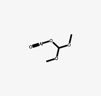 COC(OC)[O][Al]=[O]